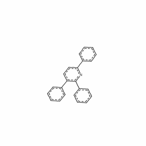 c1ccc(-c2ccc(-c3ccccc3)c(-c3ccccc3)n2)cc1